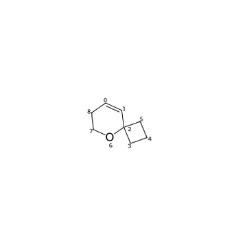 C1=CC2(CCC2)OCC1